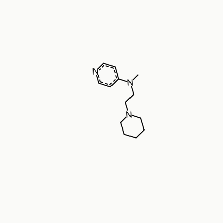 CN(CCN1CCCCC1)c1ccncc1